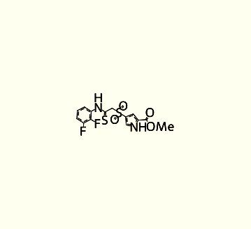 COC(=O)c1cc(S(=O)(=O)CC(=S)Nc2cccc(F)c2F)c[nH]1